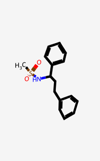 CS(=O)(=O)NC(CCc1ccccc1)c1ccccc1